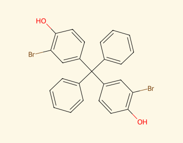 Oc1ccc(C(c2ccccc2)(c2ccccc2)c2ccc(O)c(Br)c2)cc1Br